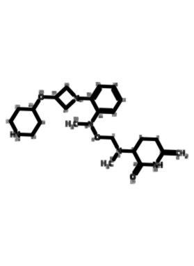 C=C1CCC(N(C)CON(C)c2ccccc2N2CC(OC3CCNCC3)C2)C(=O)N1